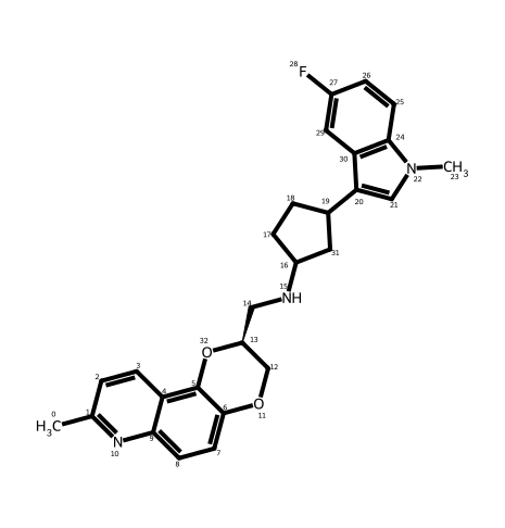 Cc1ccc2c3c(ccc2n1)OC[C@H](CNC1CCC(c2cn(C)c4ccc(F)cc24)C1)O3